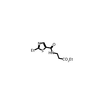 CCOC(=O)CCNC(=O)c1cnc(CC)s1